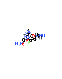 CCc1nc2c(cnn2CC)c(NC2CCOCC2)c1CN(Cc1cc(F)cc(-c2cccc(CN3C[C@@H]4C[C@H]3CN4)c2)c1)C(=O)c1cccc(C(N)=O)c1